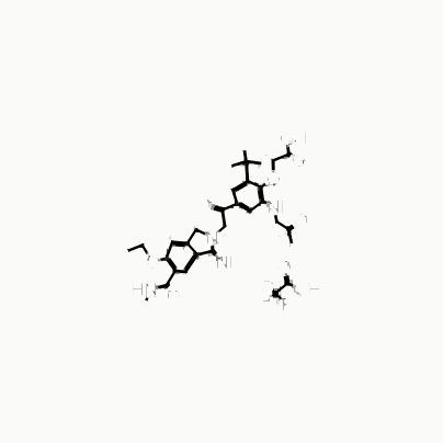 CCOc1cc2c(cc1C(=O)NC)C(=N)N(CC(=O)c1cc(NCC(C)=O)c(OCC(=O)O)c(C(C)(C)C)c1)C2.O=C(O)C(F)(F)F